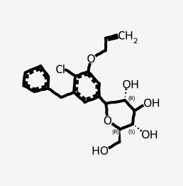 C=CCOc1cc(C2O[C@H](CO)[C@@H](O)C(O)[C@H]2O)cc(Cc2ccccc2)c1Cl